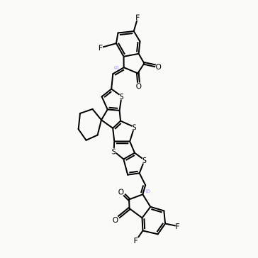 O=C1C(=O)c2c(F)cc(F)cc2/C1=C/c1cc2sc3c4c(sc3c2s1)-c1sc(/C=C2\C(=O)C(=O)c3cc(F)cc(F)c32)cc1C41CCCCC1